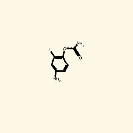 NC(=O)Oc1ccc(N)cc1F